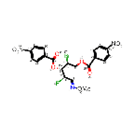 CON=C[C@@H](F)[C@H](OC(=O)c1ccc([N+](=O)[O-])cc1)[C@@H](Br)COC(=O)c1ccc([N+](=O)[O-])cc1